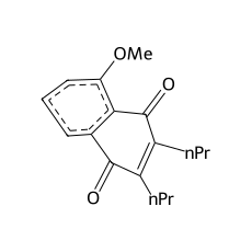 CCCC1=C(CCC)C(=O)c2c(OC)cccc2C1=O